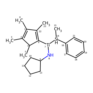 CC1=C(C)C(C)[C]([Ti]([NH]C2CCCC2)[SiH](C)c2ccccc2)=C1C